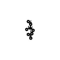 c1ccc(-c2cc(-c3cccc4c3sc3c4ccc4c3c3ccccc3n4-c3ccccc3)nc(-c3ccc4sc5ccccc5c4c3)n2)cc1